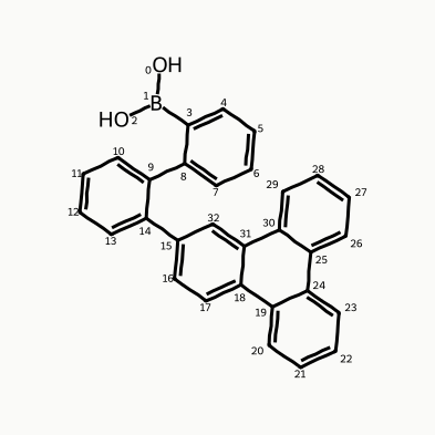 OB(O)c1ccccc1-c1ccccc1-c1ccc2c3ccccc3c3ccccc3c2c1